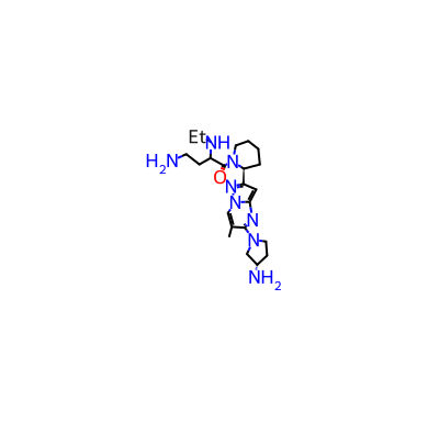 CCNC(CCN)C(=O)N1CCCC[C@H]1c1cc2nc(N3CC[C@H](N)C3)c(C)cn2n1